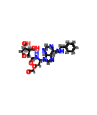 O=COCC(NC(=O)[C@@H]1OC[C@H](O)[C@H]1O)n1cnc2c(NCc3ccccc3)ncnc21